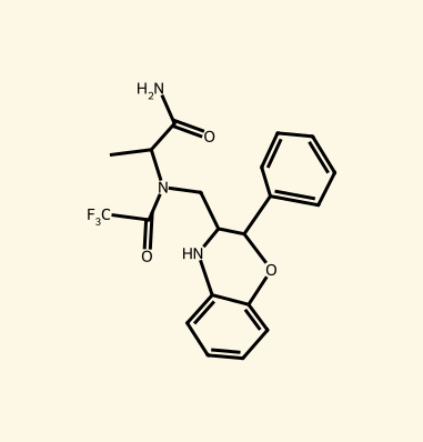 CC(C(N)=O)N(CC1Nc2ccccc2OC1c1ccccc1)C(=O)C(F)(F)F